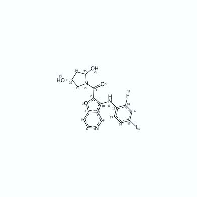 O=C(c1oc2ccncc2c1Nc1ccc(I)cc1F)N1C[C@H](O)CC1O